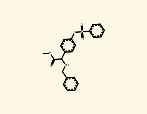 COC(=O)C(NCc1ccccc1)c1ccc(OS(=O)(=O)c2ccccc2)cc1